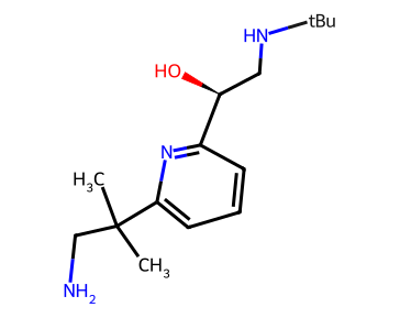 CC(C)(C)NC[C@H](O)c1cccc(C(C)(C)CN)n1